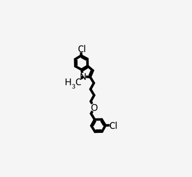 Cn1c(CCCCOCc2cccc(Cl)c2)cc2cc(Cl)ccc21